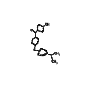 CC(C)c1ccc(Sc2ccc(C(=O)c3ccc(O)cc3)cc2)cc1